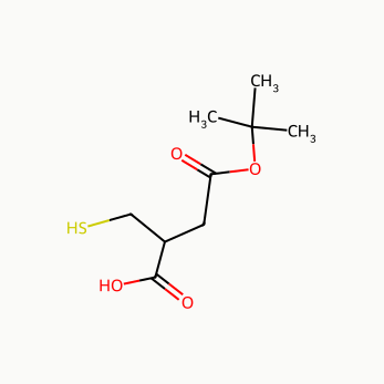 CC(C)(C)OC(=O)CC(CS)C(=O)O